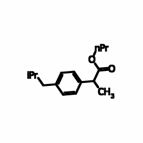 CCCOC(=O)C(C)c1ccc(CC(C)C)cc1